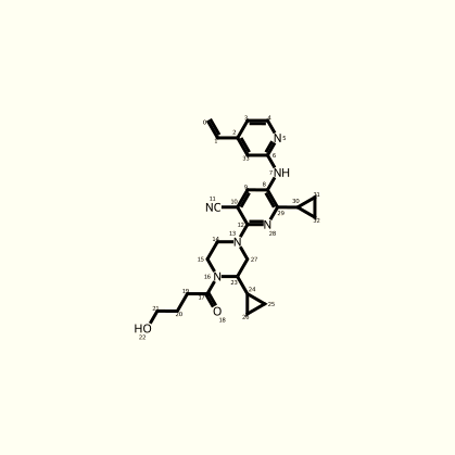 C=Cc1ccnc(Nc2cc(C#N)c(N3CCN(C(=O)CCCO)C(C4CC4)C3)nc2C2CC2)c1